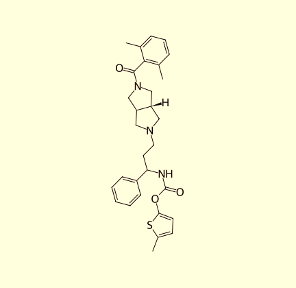 Cc1ccc(OC(=O)NC(CCN2CC3CN(C(=O)c4c(C)cccc4C)C[C@@H]3C2)c2ccccc2)s1